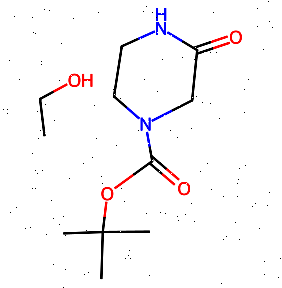 CC(C)(C)OC(=O)N1CCNC(=O)C1.CCO